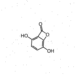 O=C1Oc2c(O)ccc(O)c21